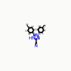 Cc1ccc(N2N=C(C#N)NN2c2ccc(C)cc2)cc1